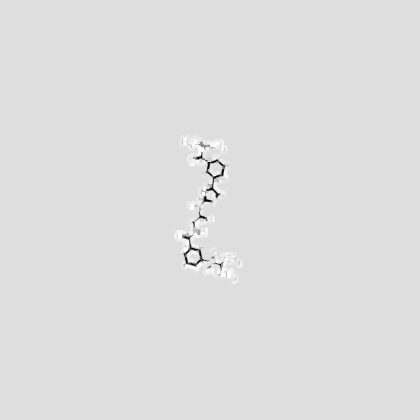 CC(C)S(=O)(=O)c1cccc(C(=O)NCC(=O)Nc2nc(-c3cccc(C(=O)N(C)C)c3)cs2)c1